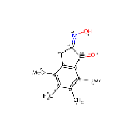 COc1c(C)c(C)c(OC)c2c1CC(=NO)C2=O